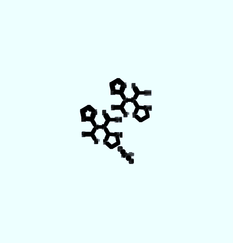 S=C([S-])N(c1nccs1)N(C(=S)S)C1NCCS1.S=C([S-])N(c1nccs1)N(C(=S)S)C1NCCS1.[O]=[Mo+2]=[O]